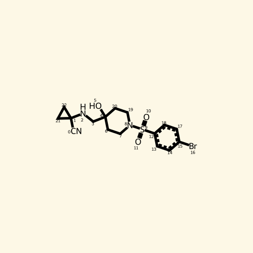 N#CC1(NCC2(O)CCN(S(=O)(=O)c3ccc(Br)cc3)CC2)CC1